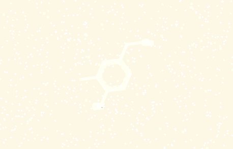 Cc1cc(CC(C)(C)C)ccc1N=O